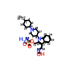 CC(C)C1CCC(N2CCC(n3c(COS(N)(=O)=O)c(C=NO)c4ccccc43)CC2)CC1